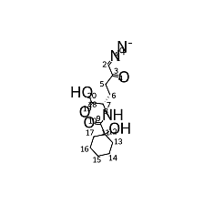 [N-]=[N+]=CC(=O)CC[C@H](NC(=O)C1(O)CCCCC1)C(=O)O